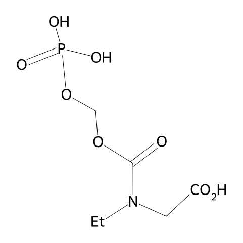 CCN(CC(=O)O)C(=O)OCOP(=O)(O)O